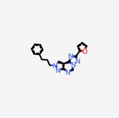 c1ccc(CCCn2cc3c(ncn4nc(-c5ccco5)nc34)n2)cc1